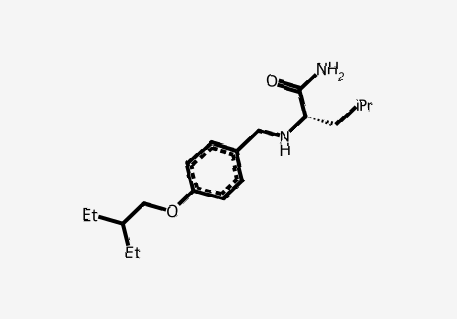 CCC(CC)COc1ccc(CN[C@@H](CC(C)C)C(N)=O)cc1